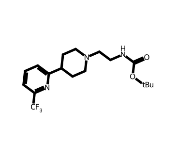 CC(C)(C)OC(=O)NCCN1CCC(c2cccc(C(F)(F)F)n2)CC1